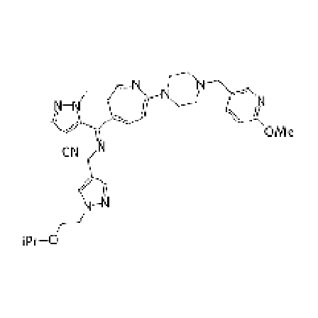 COc1ccc(CN2CCN(C3=CC=C(/C(=N/Cc4cnn(CCOC(C)C)c4)c4c(C#N)cnn4C)CC=N3)CC2)cn1